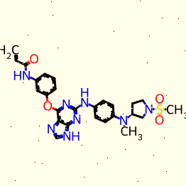 C=CC(=O)Nc1cccc(Oc2nc(Nc3ccc(N(C)[C@H]4CCN(S(C)(=O)=O)C4)cc3)nc3[nH]cnc23)c1